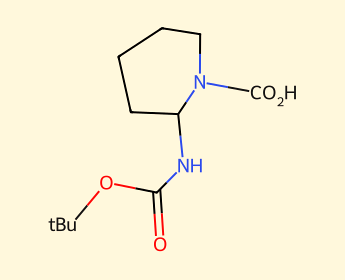 CC(C)(C)OC(=O)NC1CCCCN1C(=O)O